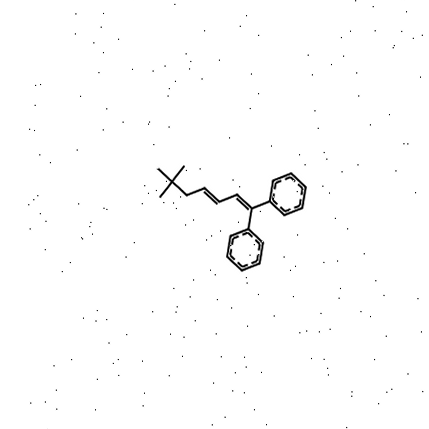 CC(C)(C)CC=CC=C(c1ccccc1)c1ccccc1